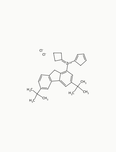 CC(C)(C)c1ccc2c(c1)-c1cc(C(C)(C)C)c[c]([Zr+2]([C]3=CC=CC3)=[C]3CCC3)c1C2.[Cl-].[Cl-]